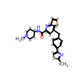 Cc1nc(-c2ccc(Cc3cc(C(=O)NC4CCN(C)CC4)nc4ccsc34)cc2)cs1